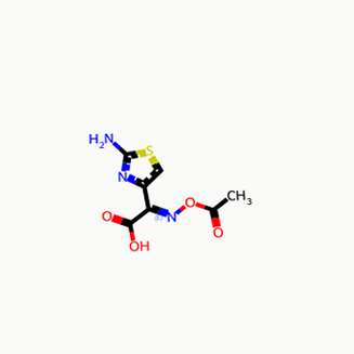 CC(=O)O/N=C(/C(=O)O)c1csc(N)n1